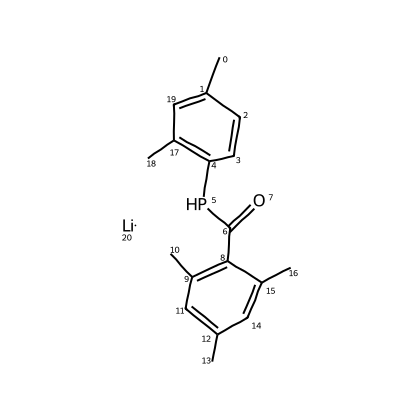 Cc1ccc(PC(=O)c2c(C)cc(C)cc2C)c(C)c1.[Li]